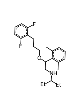 CCC(CC)NCC(OCCCc1c(F)cccc1F)c1c(C)cccc1C